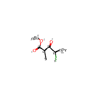 CCCCOC(=O)C(C)C(=O)C(F)CCC